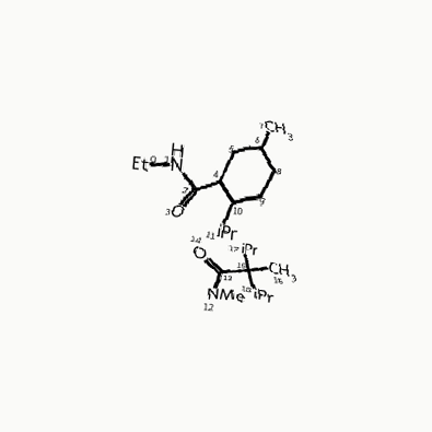 CCNC(=O)C1CC(C)CCC1C(C)C.CNC(=O)C(C)(C(C)C)C(C)C